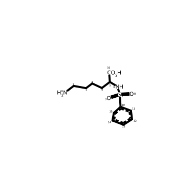 NCCCCC(NS(=O)(=O)c1ccccc1)C(=O)O